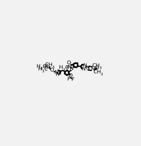 CC(=O)N1CCN(c2ncc(-c3ccc4c(=O)n(C)n(Cc5cc(Cc6cnn(COCC[Si](C)(C)C)c6)ccc5OC(F)F)c4c3)cn2)CC1C